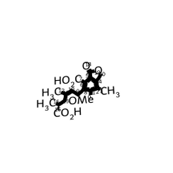 COc1c(C)c2c(c(C(=O)O)c1CC=C(C)C[C@H](C)C(=O)O)C(=O)OC2